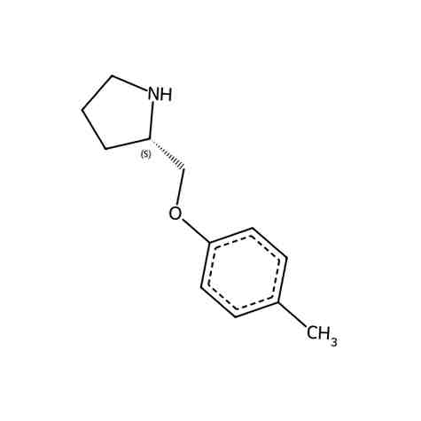 Cc1ccc(OC[C@@H]2CCCN2)cc1